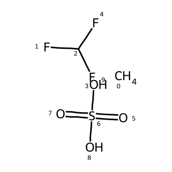 C.FC(F)F.O=S(=O)(O)O